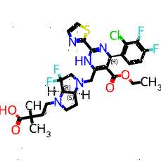 CCOC(=O)C1=C(CN2CC(F)(F)[C@H]3[C@@H]2CCN3CCC(C)(C)C(=O)O)NC(c2nccs2)=N[C@H]1c1ccc(F)c(F)c1Cl